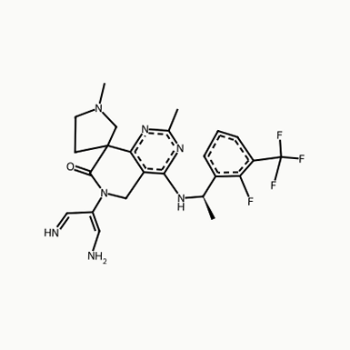 Cc1nc(N[C@H](C)c2cccc(C(F)(F)F)c2F)c2c(n1)C1(CCN(C)C1)C(=O)N(/C(C=N)=C/N)C2